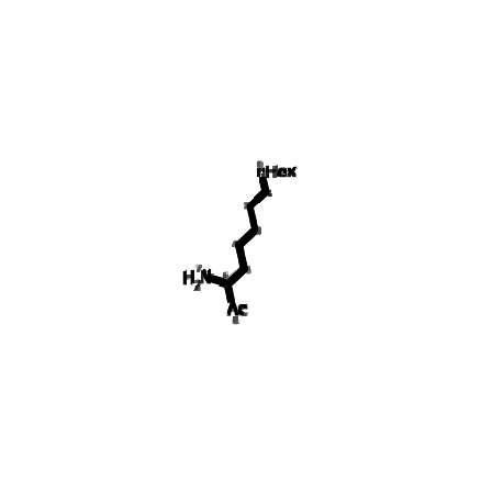 CCCCCCCCCCCC(N)C(C)=O